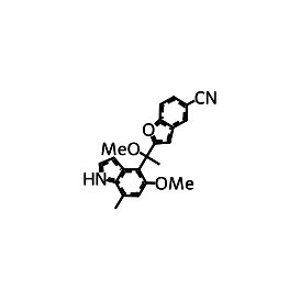 COc1cc(C)c2[nH]ccc2c1C(C)(OC)c1cc2cc(C#N)ccc2o1